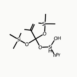 C=C(C)C(O[SiH](O)CCC)(O[Si](C)(C)C)O[Si](C)(C)C